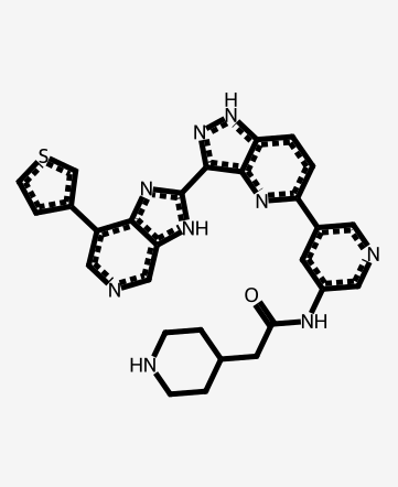 O=C(CC1CCNCC1)Nc1cncc(-c2ccc3[nH]nc(-c4nc5c(-c6ccsc6)cncc5[nH]4)c3n2)c1